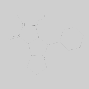 CN1C(=O)C2C(C1=O)C(C1CCCCC1)N1CCCC21